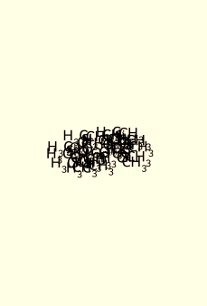 C[Si](C)(C)OC1O[C@H](COC(=O)OC[C@H]2OC(O[Si](C)(C)C)[C@H](O[Si](C)(C)C)[C@@H](O[Si](C)(C)C)[C@@H]2O[Si](C)(C)C)[C@@H](O[Si](C)(C)C)[C@H](O[Si](C)(C)C)[C@H]1O[Si](C)(C)C